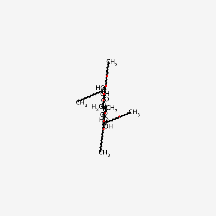 CCCCCCCCCCCCCCCCC(O)CN(CCCCC(=O)OCCN1CC(C)N(CCOC(=O)CCCCN(CC(O)CCCCCCCCCCCCCCCC)CC(O)CCCCCCCCCCCCCCCC)CC1C)CC(O)CCCCCCCCCCCCCCCC